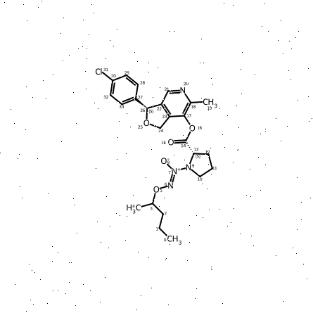 CCCC(C)ON=[N+]([O-])N1CCC[C@H]1C(=O)Oc1c(C)ncc2c1CO[C@H]2c1ccc(Cl)cc1